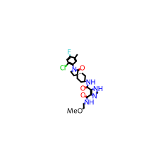 COCCNC(=O)c1nc[nH]c1C(=O)N[C@H]1CC[C@@]2(CCN(c3cc(C)c(F)cc3Cl)C2=O)CC1